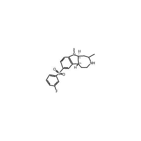 CC1C[C@H]2[C@H](CCN1)c1cc(S(=O)(=O)c3cccc(F)c3)ccc1N2C